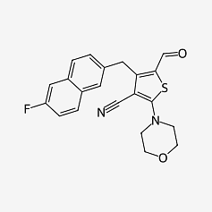 N#Cc1c(N2CCOCC2)sc(C=O)c1Cc1ccc2cc(F)ccc2c1